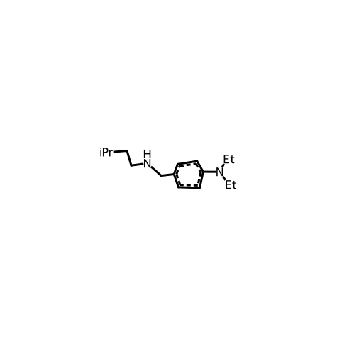 CCN(CC)c1ccc(CNCCC(C)C)cc1